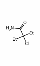 CCC(Cl)(CC)C(N)=O